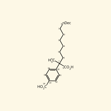 CCCCCCCCCCCCCCCCC(C)(C(=O)O)c1ccc(C(=O)O)cc1